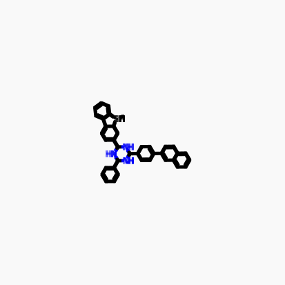 C[SiH]1c2ccccc2C2=CC=C(C3NC(c4ccccc4)NC(C4C=CC(c5ccc6ccccc6c5)=CC4)N3)CC21